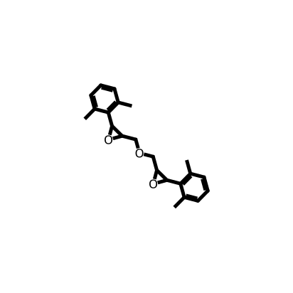 Cc1cccc(C)c1C1OC1COCC1OC1c1c(C)cccc1C